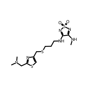 CNC1=NS(=O)(=O)N=C1NCCCSCc1csc(CN(C)C)n1